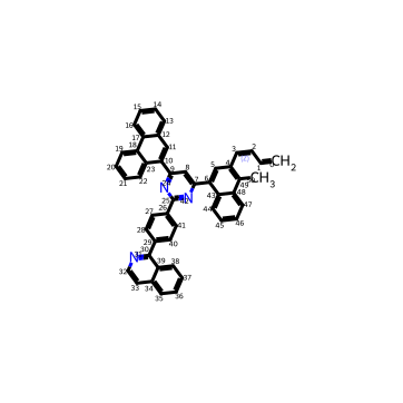 C=C/C=C\c1cc(-c2cc(-c3cc4ccccc4c4ccccc34)nc(-c3ccc(-c4nccc5ccccc45)cc3)n2)c2ccccc2c1C